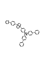 Clc1ccc(-c2ccc(-c3ccc(N(c4ccc(-c5ccccc5)cc4)c4ccc(-c5ccccc5)cc4)cc3)o2)cc1